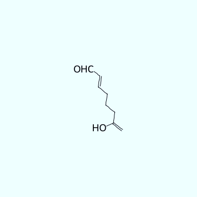 C=C(O)CCCC=CC=O